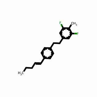 CCCC=Cc1ccc(CCc2cc(F)c(C)c(F)c2)cc1